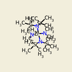 C[N](C)[Zr]([N](C)C)([N]([Si](C)(C)C)[Si](C)(C)C)[N]([Si](C)(C)C)[Si](C)(C)C